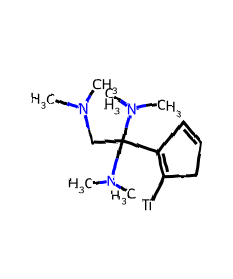 CN(C)CC(C1=[C]([Ti])CC=C1)(N(C)C)N(C)C